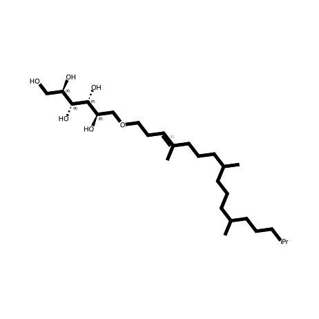 C/C(=C\CCOC[C@@H](O)[C@@H](O)[C@H](O)[C@H](O)CO)CCCC(C)CCCC(C)CCCC(C)C